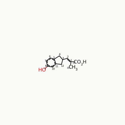 CC(=CC1Cc2ccc(O)cc2C1)C(=O)O